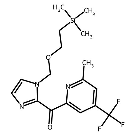 Cc1cc(C(F)(F)F)cc(C(=O)c2nccn2COCC[Si](C)(C)C)n1